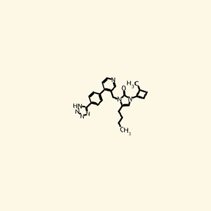 CCCCc1cn(C2CCC2C)c(=O)n1Cc1cnccc1-c1ccc(-c2nnn[nH]2)cc1